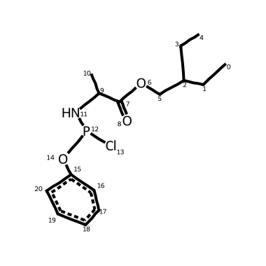 CCC(CC)COC(=O)C(C)NP(Cl)Oc1ccccc1